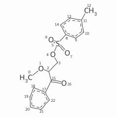 COC(COS(=O)(=O)c1ccc(C)cc1)C(=O)c1ccccc1